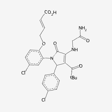 CC(C)(C)C(=O)C1=C(NCC(N)=O)C(=O)N(c2cc(Cl)ccc2OC/C=C/C(=O)O)C1c1ccc(Cl)cc1